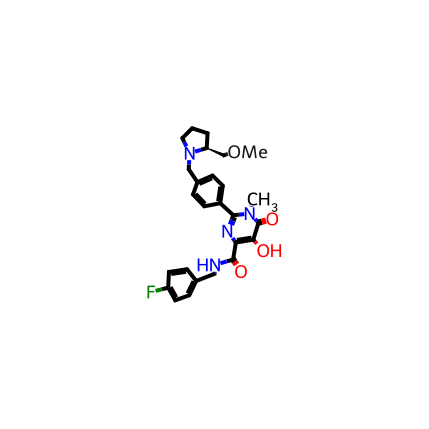 COC[C@@H]1CCCN1Cc1ccc(-c2nc(C(=O)NCc3ccc(F)cc3)c(O)c(=O)n2C)cc1